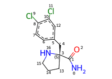 NC(=O)[C@]1([CH]c2ccc(Cl)c(Cl)c2)CCCN1